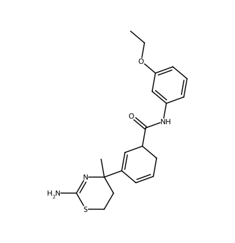 CCOc1cccc(NC(=O)C2C=C(C3(C)CCSC(N)=N3)C=CC2)c1